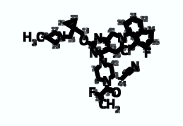 C=C(F)C(=O)N1CCN(c2nc(OCC3(CN4CC(C)C4)CC3)nc3c2CCN(c2cccc4ccc(F)c(Cl)c24)C3)C[C@@H]1CC#N